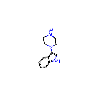 c1ccc2c(N3CCNCC3)c[nH]c2c1